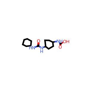 O=C(O)NC1CCC(NC(=O)NC2CCCCC2)CC1